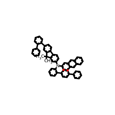 CC1(C)c2cc(-c3ccccc3-c3ccccc3)ccc2-c2ccc(N(c3ccc4cc5ccccc5cc4c3)c3ccccc3-c3ccc(-c4ccccc4)cc3)cc21